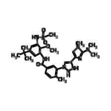 COc1c(NC(=O)c2ccc(C)c(N3C=C(c4cn(C)c(N(C)C)n4)NN3)c2)cc(C(C)(C)C)cc1NS(C)(=O)=O